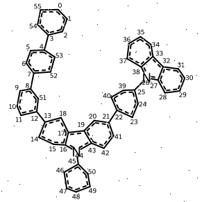 c1ccc(-c2ccc(-c3cccc(-c4ccc5c(c4)c4cc(-c6ccc(-n7c8ccccc8c8ccccc87)cc6)ccc4n5-c4ccccc4)c3)cc2)cc1